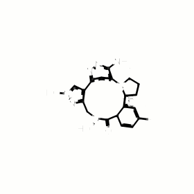 CN1Cc2nn(C)cc2-c2cc(c(N)nn2)N2CCC[C@@H]2C2(C)C=C(F)C=CC2C1=O